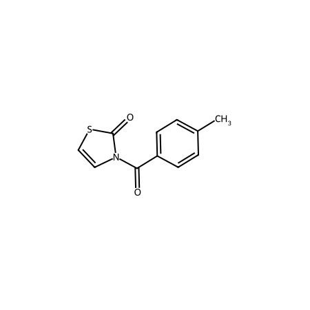 Cc1ccc(C(=O)n2ccsc2=O)cc1